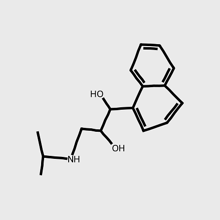 CC(C)NCC(O)C(O)c1cccc2ccccc12